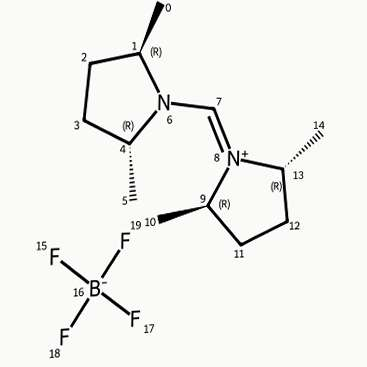 C[C@@H]1CC[C@@H](C)N1C=[N+]1[C@H](C)CC[C@H]1C.F[B-](F)(F)F